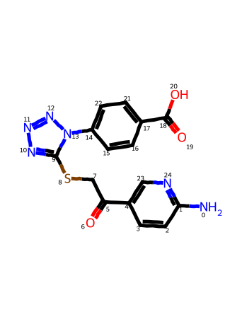 Nc1ccc(C(=O)CSc2nnnn2-c2ccc(C(=O)O)cc2)cn1